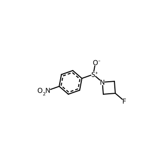 O=[N+]([O-])c1ccc([S+]([O-])N2CC(F)C2)cc1